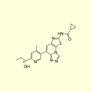 CC[C@@H](O)c1cc(C)c(-c2cc3nc(NC(=O)C4CC4)sc3n3cnnc23)cn1